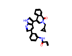 C=CC(=O)Nc1cccc(-c2cnc3[nH]cc(-c4cn(CC5CC5)c(=O)c5ccccc45)c3c2)c1